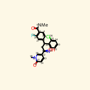 CNC(=O)c1ccc(C(C/C(=N\O)c2ccc(=O)n(C)c2)c2ccccc2Cl)cc1F